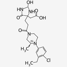 CCc1cc(N2CCN(C(=O)CCC3(CC(=O)O)NC(O)NC3=O)C[C@@H]2C)ccc1Cl